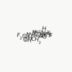 Cc1cc(C(O)C(F)(F)F)ncc1-c1cc2cnc(NC(=O)[C@@H]3C[C@@H]3F)cc2cn1